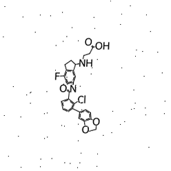 O=C(O)CCN[C@@H]1CCc2c1cc1nc(-c3cccc(-c4ccc5c(c4)OCCO5)c3Cl)oc1c2F